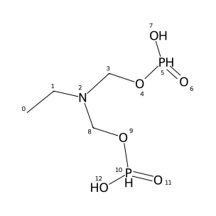 CCN(CO[PH](=O)O)CO[PH](=O)O